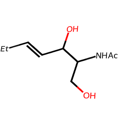 CC/C=C/C(O)C(CO)NC(C)=O